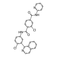 O=C(Nc1ccccn1)c1ccc(C(=O)Nc2ccc(Cl)c(-c3nccc4ccccc34)c2)c(Cl)c1